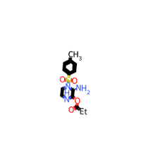 CCC(=O)OC1NCCN(S(=O)(=O)c2ccc(C)cc2)[C@@H]1N